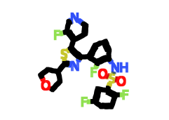 O=S(=O)(Nc1cccc(-c2nc(C3CCOCC3)sc2-c2ccncc2F)c1F)c1cc(F)ccc1F